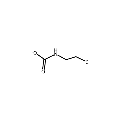 [O]C(=O)NCCCl